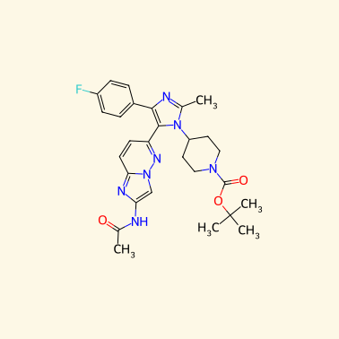 CC(=O)Nc1cn2nc(-c3c(-c4ccc(F)cc4)nc(C)n3C3CCN(C(=O)OC(C)(C)C)CC3)ccc2n1